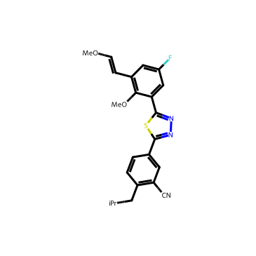 CO/C=C/c1cc(F)cc(-c2nnc(-c3ccc(CC(C)C)c(C#N)c3)s2)c1OC